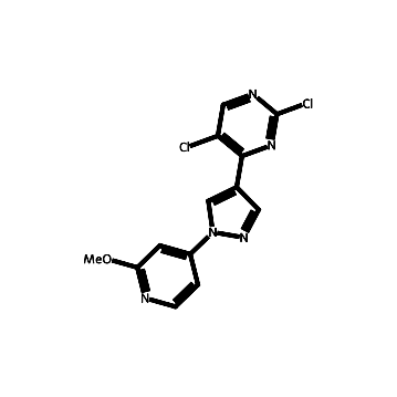 COc1cc(-n2cc(-c3nc(Cl)ncc3Cl)cn2)ccn1